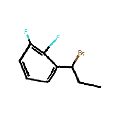 CCC(Br)c1cccc(F)c1F